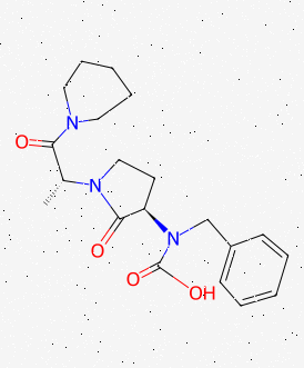 C[C@H](C(=O)N1CCCCC1)N1CC[C@@H](N(Cc2ccccc2)C(=O)O)C1=O